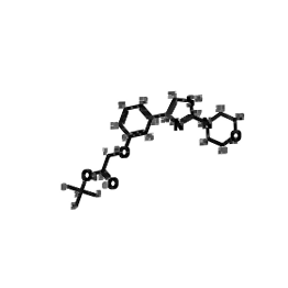 CC(C)(C)OC(=O)COc1cccc(-c2csc(N3CCOCC3)n2)c1